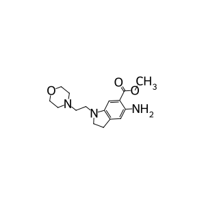 COC(=O)c1cc2c(cc1N)CCN2CCN1CCOCC1